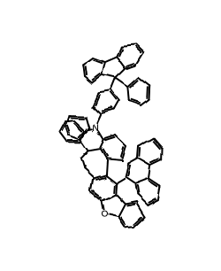 c1ccc(C2CCc3cc4oc5ccccc5c4c(-c4cc5ccccc5c5ccccc45)c3-c3cccc(N(c4ccccc4)c4ccc(C5(c6ccccc6)c6ccccc6-c6ccccc65)cc4)c32)cc1